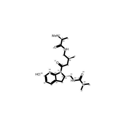 CN[C@@H](C)C(=O)NC[C@@H](C)CC(=O)N1c2ncccc2C[C@H]1CNC(=O)N(C)C.Cl